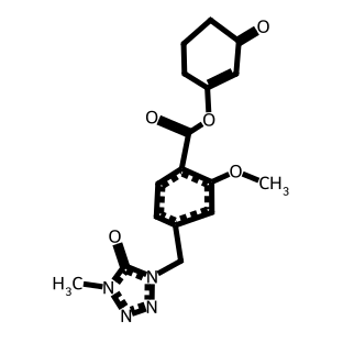 COc1cc(Cn2nnn(C)c2=O)ccc1C(=O)OC1=CC(=O)CCC1